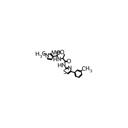 COCC(NC(=O)c1ccn(C)c1)C(=O)Nc1nc(-c2cccc(C)c2)cs1